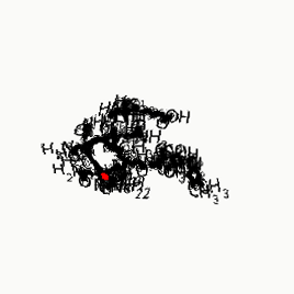 C/C1=C2N=C(/C=C3N=C(/C(C)=C4/[C@@H](CCC(N)=O)[C@](C)(CC(N)=O)[C@](C)([C@@H]5N=C1[C@](C)(CCC(=O)NCC(C)OP(=O)([O-])O[C@H]1[C@@H](O)[C@@H](n6cnc7cc(C)c(C)cc76)O[C@@H]1CO)[C@H]5CC(N)=O)[N]4[Co+][C]#N)[C@@](C)(CC(N)=O)[C@@H]\3CCC(N)=O)C(C)(C)[C@@H]/2CCC(N)=O.O=C(O)CCCC[C@@H]1SC[C@@H]2NC(=O)N[C@@H]21